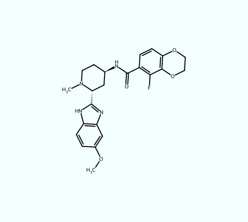 COc1ccc2[nH]c([C@H]3C[C@H](NC(=O)c4ccc5c(c4F)OCCO5)CCN3C)nc2c1